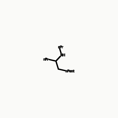 CCCCCCC(CCC)NCCC